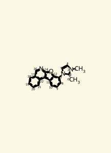 C[C@H]1N(C)C=CN1c1cccc2c1oc1ncc3ccccc3c12